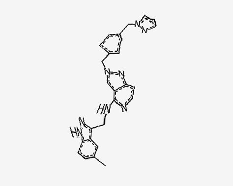 Cc1ccc2[nH]nc(CNc3nccc4nn(Cc5ccc(Cn6cccn6)cc5)cc34)c2c1